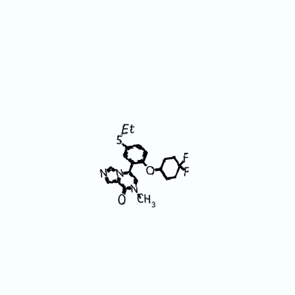 CCSc1ccc(OC2CCC(F)(F)CC2)c(-c2cn(C)c(=O)c3cncn23)c1